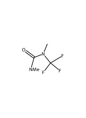 C[N]C(=O)N(C)C(F)(F)F